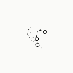 COC(=O)C1CCN(C(=O)N2CCc3c(-c4cccc(OC)c4)ccc(CNC(=O)[C@@H]4C[C@H]4c4ccccc4)c3C2)CC1